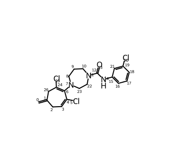 C=C1CC=C(Cl)C(N2CCCN(C(=O)Nc3cccc(Cl)c3)CC2)=C(Cl)C1